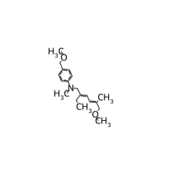 CC/C(=C\C=C(/C)COC)CN(C)c1ccc(COC)cc1